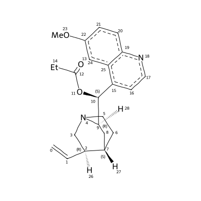 C=C[C@H]1CN2CC[C@H]1C[C@@H]2[C@@H](OC(=O)CC)c1ccnc2ccc(OC)cc12